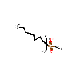 CCCCC[CH]CC(C)(C)S(C)(=O)=O